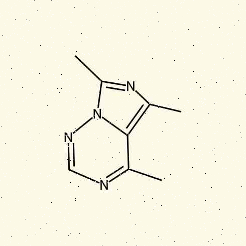 Cc1ncnn2c(C)nc(C)c12